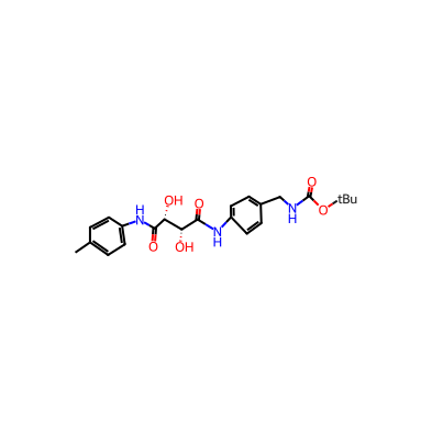 Cc1ccc(NC(=O)[C@H](O)[C@@H](O)C(=O)Nc2ccc(CNC(=O)OC(C)(C)C)cc2)cc1